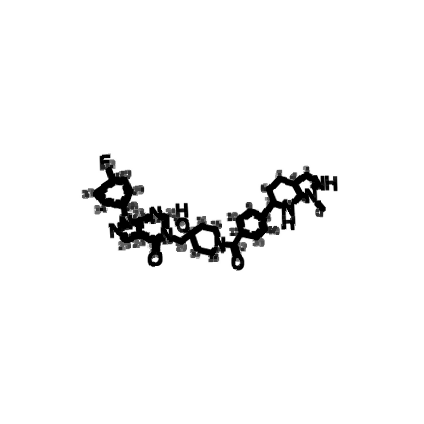 CN1NCC2CCC(c3ccc(C(=O)N4CCC(O)(Cn5cnc6c(cnn6-c6ccc(F)cc6)c5=O)CC4)cc3)NC21